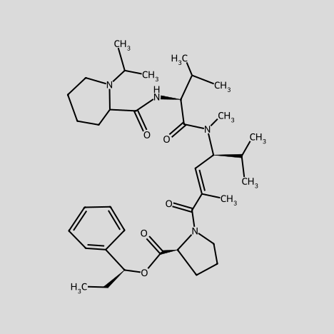 CC[C@H](OC(=O)[C@@H]1CCCN1C(=O)/C(C)=C/[C@H](C(C)C)N(C)C(=O)[C@@H](NC(=O)C1CCCCN1C(C)C)C(C)C)c1ccccc1